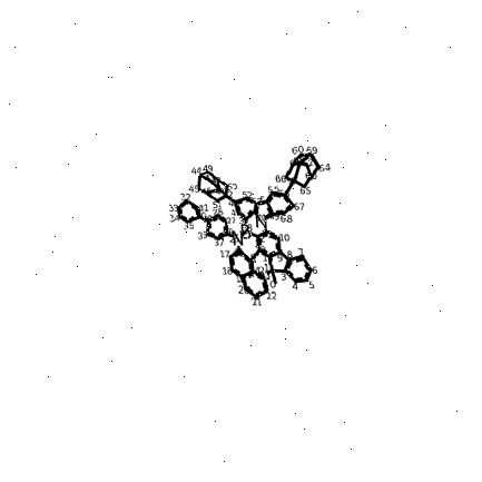 CC1(C)c2ccccc2-c2cc3c4c(c21)-c1c(ccc2ccccc12)N(c1ccc(-c2ccccc2)cc1)B4c1cc(C24CC5CC(CC(C5)C2)C4)cc2c4cc(C56CC7CC(CC(C7)C5)C6)ccc4n-3c12